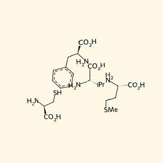 CC(C)[C@H](N)C(=O)O.CSCC[C@H](N)C(=O)O.N[C@@H](CS)C(=O)O.N[C@@H](Cc1ccccc1)C(=O)O